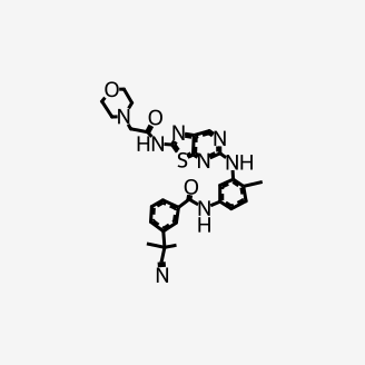 Cc1ccc(NC(=O)c2cccc(C(C)(C)C#N)c2)cc1Nc1ncc2nc(NC(=O)CN3CCOCC3)sc2n1